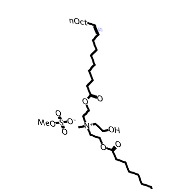 CCCCCCCC/C=C\CCCCCCCC(=O)OCC[N+](C)(CCO)CCOC(=O)CCCCCCCCCCCCCCCCC.COS(=O)(=O)[O-]